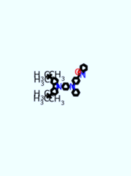 CC(C)(C)c1ccc2c(c1)c1cc(C(C)(C)C)ccc1n2-c1ccc(N(c2ccccc2)c2ccc(-c3nc4ccccc4o3)cc2)cc1